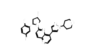 Fc1ccc(F)c([C@H]2C[C@H](F)CN2c2ccc3nccc(-c4cnn(C5CCOCC5)c4)c3n2)c1